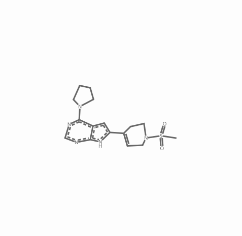 CS(=O)(=O)N1CC=C(c2cc3c(N4CCCC4)ncnc3[nH]2)CC1